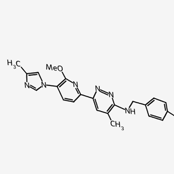 COc1nc(-c2cc(C)c(NCc3ccc(F)cc3)nn2)ccc1-n1cnc(C)c1